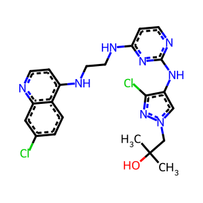 CC(C)(O)Cn1cc(Nc2nccc(NCCNc3ccnc4cc(Cl)ccc34)n2)c(Cl)n1